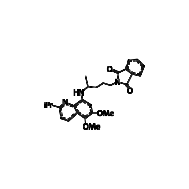 COc1cc(NC(C)CCCN2C(=O)c3ccccc3C2=O)c2nc(C(C)C)ccc2c1OC